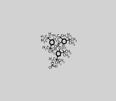 CC(C)(C)c1ccc(OP(Oc2ccc(C(C)(C)C)cc2C(C)(C)C)Oc2ccc(C(C)(C)C)cc2C(C)(C)C)c(C(C)(C)C)c1.[Cl][Au]([Cl])[Cl]